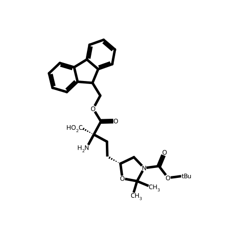 CC(C)(C)OC(=O)N1C[C@@H](CC[C@](N)(C(=O)O)C(=O)OCC2c3ccccc3-c3ccccc32)OC1(C)C